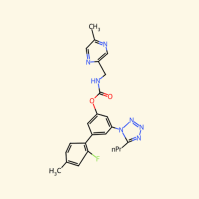 CCCc1nnnn1-c1cc(OC(=O)NCc2cnc(C)cn2)cc(-c2ccc(C)cc2F)c1